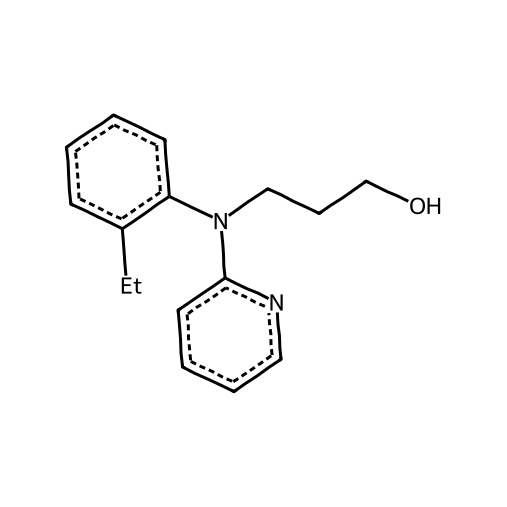 CCc1ccccc1N(CCCO)c1ccccn1